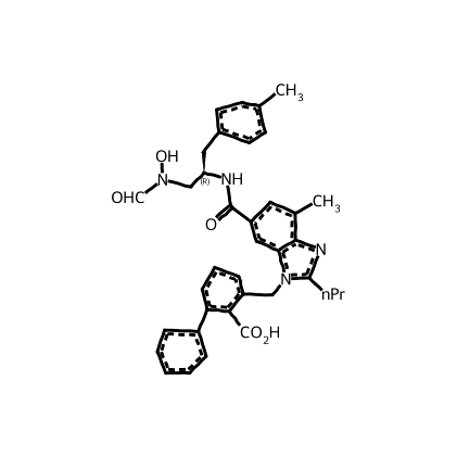 CCCc1nc2c(C)cc(C(=O)N[C@H](Cc3ccc(C)cc3)CN(O)C=O)cc2n1Cc1cccc(-c2ccccc2)c1C(=O)O